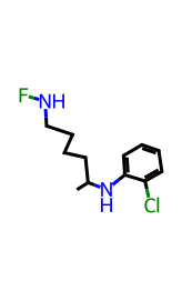 CC(CCCCNF)Nc1ccccc1Cl